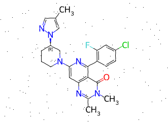 Cc1cnn([C@@H]2CCCN(c3cc4nc(C)n(C)c(=O)c4c(-c4ccc(Cl)cc4F)n3)C2)c1